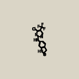 O=C1Cc2ccc(Nc3ncc(C(F)(F)F)c(Cl)n3)cc2N1